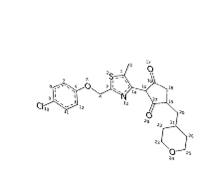 Cc1sc(COc2ccc(Cl)cc2)nc1C1C(=O)CC(CC2CCOCC2)C1=O